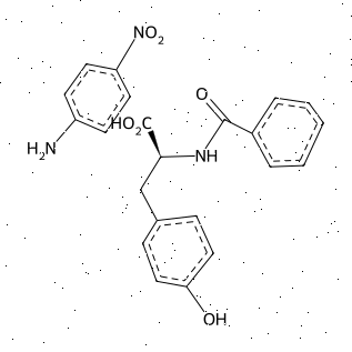 Nc1ccc([N+](=O)[O-])cc1.O=C(N[C@@H](Cc1ccc(O)cc1)C(=O)O)c1ccccc1